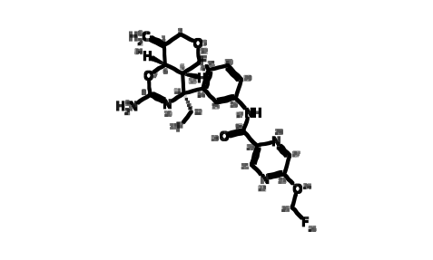 C=C1COC[C@H]2[C@@H]1OC(N)=N[C@]2(CF)c1cc(NC(=O)c2cnc(OCF)cn2)ccc1F